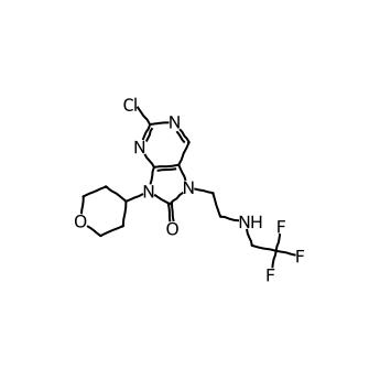 O=c1n(CCNCC(F)(F)F)c2cnc(Cl)nc2n1C1CCOCC1